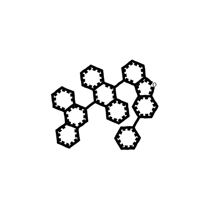 c1ccc(-c2ccc3oc4cccc(-c5c6ccccc6c(-c6cc7ccccc7c7ccccc67)c6ccccc56)c4c3c2)cc1